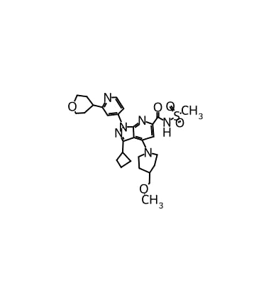 COCC1CCN(c2cc(C(=O)NS(C)(=O)=O)nc3c2c(C2CCC2)nn3-c2ccnc(C3CCOCC3)c2)CC1